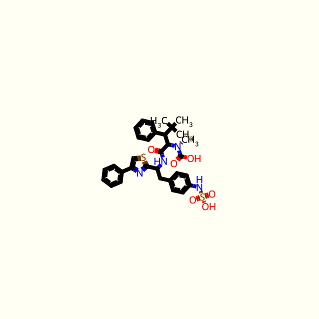 CN(C(=O)O)C(C(=O)NC(Cc1ccc(NS(=O)(=O)O)cc1)c1nc(-c2ccccc2)cs1)C(c1ccccc1)C(C)(C)C